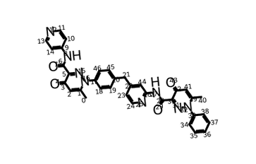 Cc1cc(=O)c(C(=O)Nc2ccncc2)nn1-c1ccc(Cc2ccnc(NC(=O)c3nn(-c4ccccc4)c(C)cc3=O)c2)cc1